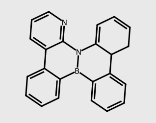 C1=CCC2C(=C1)N1B(c3ccccc3-c3cccnc31)c1ccccc12